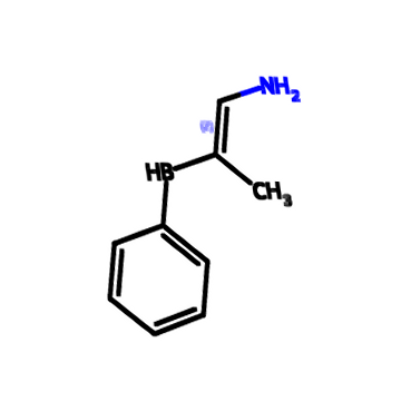 C/C(Bc1ccccc1)=C\N